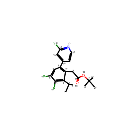 CC(C)c1c(F)c(F)cc(-c2ccnc(F)c2)c1CC(=O)OC(C)(C)C